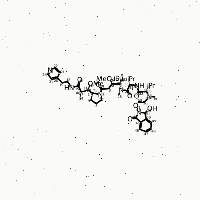 CC[C@H](C)[C@@H]([C@@H](CC(=O)N1CCC[C@H]1[C@H](OC)[C@@H](C)C(=O)NCCc1ccncc1)OC)N(C)C(=O)[C@@H](NC(=O)[C@H](C(C)C)N(C)CCON1C(=O)c2ccccc2C1O)C(C)C